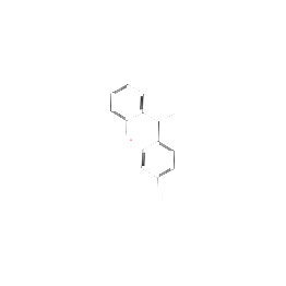 CC(c1ccc(Cl)cc1)c1ccccc1O